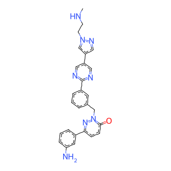 CNCCn1cc(-c2cnc(-c3cccc(Cn4nc(-c5cccc(N)c5)ccc4=O)c3)nc2)cn1